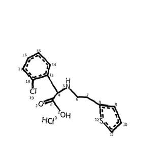 Cl.O=C(O)C(NCCc1cccs1)c1ccccc1Cl